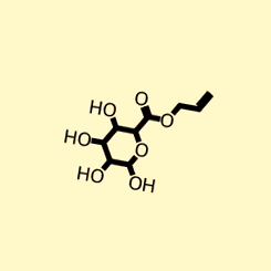 C=CCOC(=O)C1OC(O)C(O)C(O)C1O